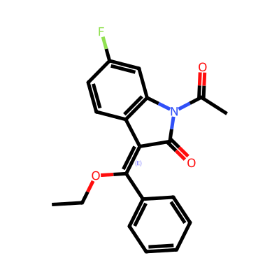 CCO/C(=C1/C(=O)N(C(C)=O)c2cc(F)ccc21)c1ccccc1